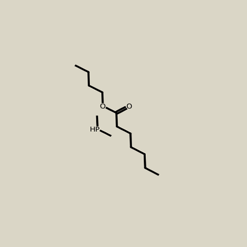 CCCCCCC(=O)OCCCC.CPC